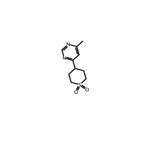 Cc1cc(C2CCS(=O)(=O)CC2)ncn1